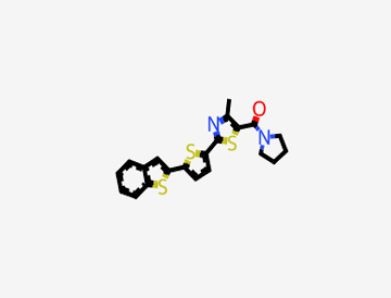 Cc1nc(-c2ccc(-c3cc4ccccc4s3)s2)sc1C(=O)N1CCCC1